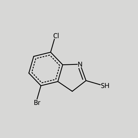 SC1=Nc2c(Cl)ccc(Br)c2C1